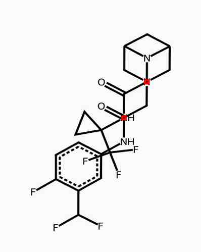 O=C(CN1CC2CC(C1)N2CC(=O)NC1(C(F)(F)F)CC1)Nc1ccc(F)c(C(F)F)c1